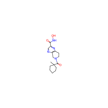 CC1(C(=O)N2CCc3nc(C(=O)NO)cnc3C2)CCCCC1